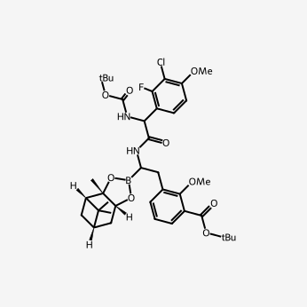 COc1ccc(C(NC(=O)OC(C)(C)C)C(=O)NC(Cc2cccc(C(=O)OC(C)(C)C)c2OC)B2O[C@@H]3C[C@@H]4C[C@@H](C4(C)C)[C@]3(C)O2)c(F)c1Cl